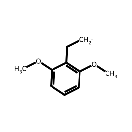 [CH2]Cc1c(OC)cccc1OC